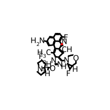 [2H]C([2H])(Oc1nc(N2CCOC[C@H]3[C@H](F)[C@H]32)c2cc(C#N)c(-c3cc(N)cc4ccc(F)c(C#C)c34)c(C)c2n1)[C@@]12CCCN1C[C@H](F)C2